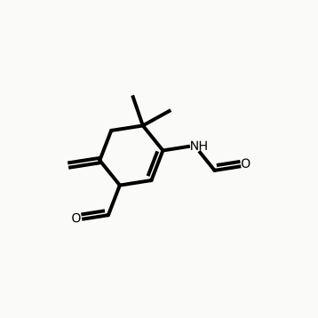 C=C1CC(C)(C)C(NC=O)=CC1C=O